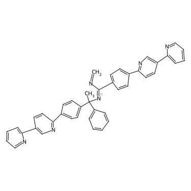 C=N/C(=N\C(C)(c1ccccc1)c1ccc(-c2ccc(-c3ccccn3)cn2)cc1)c1ccc(-c2ccc(-c3ccccn3)cn2)cc1